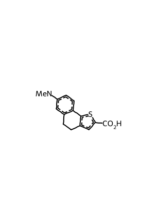 CNc1ccc2c(c1)CCc1cc(C(=O)O)sc1-2